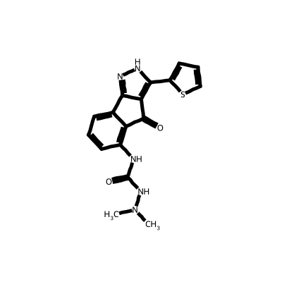 CN(C)NC(=O)Nc1cccc2c1C(=O)c1c-2n[nH]c1-c1cccs1